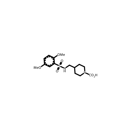 COc1ccc(OC)c(S(=O)(=O)NCC2CCN(C(=O)O)CC2)c1